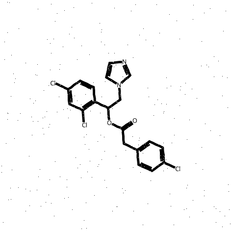 O=C(Cc1ccc(Cl)cc1)OC(Cn1ccnc1)c1ccc(Cl)cc1Cl